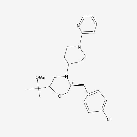 COC(C)(C)C1CN(C2CCN(c3ccccn3)CC2)[C@@H](Cc2ccc(Cl)cc2)CO1